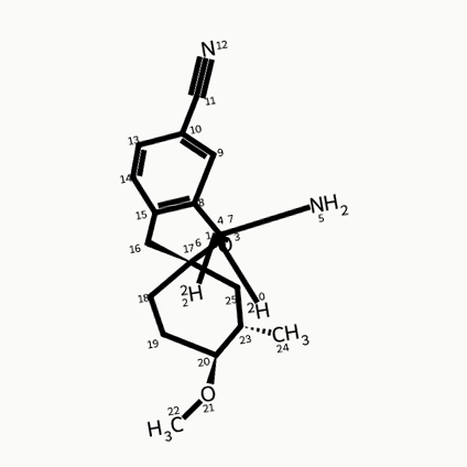 [2H]C1([2H])OC(N)=N[C@]12c1cc(C#N)ccc1C[C@@]21CC[C@H](OC)[C@@H](C)C1